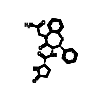 NC(=O)CN1C(=O)[C@@H](NC(=O)[C@@H]2CCC(=O)N2)[C@@H](c2ccccc2)Sc2ccccc21